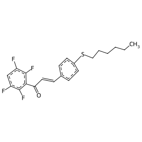 CCCCCCSc1ccc(C=CC(=O)c2c(F)c(F)cc(F)c2F)cc1